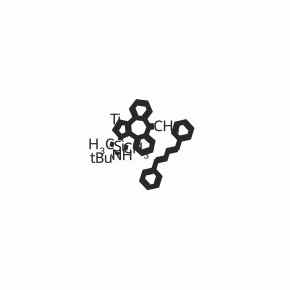 C(C=Cc1ccccc1)=Cc1ccccc1.C=C1c2ccccc2C2=C(c3ccccc31)C([Si](C)(C)NC(C)(C)C)C=C2.[Ti]